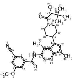 COc1cc(C#N)cc(C(=O)Nc2cnc3c(c(C4CCN(C(=O)[C@H](C)C(C)(C)C)CC4)cn3C)c2C)c1